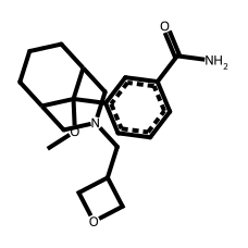 COC1(c2cccc(C(N)=O)c2)C2CCCC1CN(CC1COC1)C2